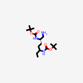 CCC(CC[C@@H](CN)NC(=O)OC(C)(C)C)NC(=O)OC(C)(C)C